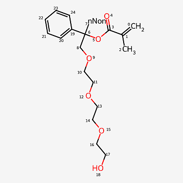 C=C(C)C(=O)OC(CCCCCCCCC)(COCCOCCOCCO)c1ccccc1